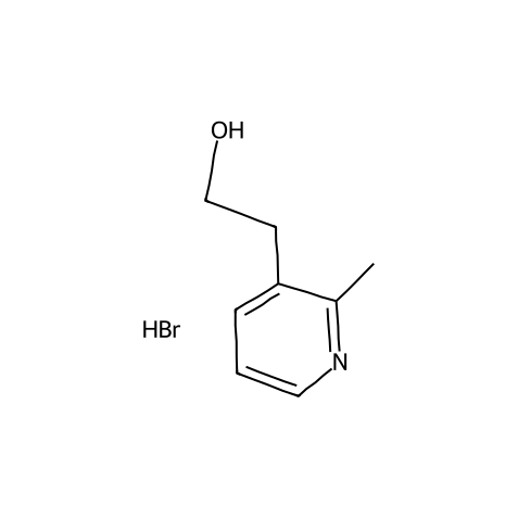 Br.Cc1ncccc1CCO